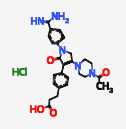 CC(=O)N1CCN(C2=C(c3ccc(CCC(=O)O)cc3)C(=O)N(c3ccc(C(=N)N)cc3)C2)CC1.Cl